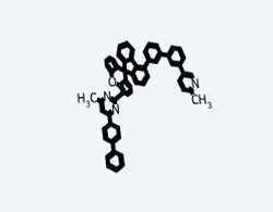 Cc1ccc(-c2cccc(-c3cccc(-c4cccc5c4-c4ccccc4C54c5ccccc5Oc5c(-c6nc(C)cc(C7C=CC(c8ccccc8)=CC7)n6)cccc54)c3)c2)cn1